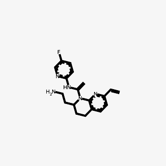 C=Cc1ccc2c(n1)N(C(=C)Nc1ccc(F)cn1)C(CCN)CC2